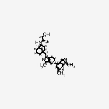 Cc1cc(N2CCc3c(c(C)nn3CC34CCCC(C3)C(NC(=O)CO)CC4)C2)c2cnn(C)c2n1